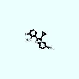 Cc1c(F)cncc1-c1nc2ccc(P)cn2c1C1CC1